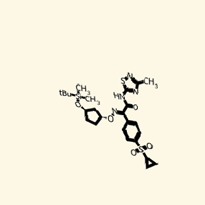 Cc1nsc(NC(=O)/C(=N/O[C@@H]2CC[C@@H](O[Si](C)(C)C(C)(C)C)C2)c2ccc(S(=O)(=O)C3CC3)cc2)n1